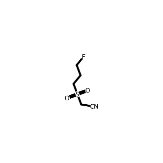 N#CCS(=O)(=O)CCCF